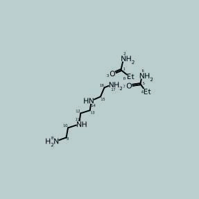 CCC(N)=O.CCC(N)=O.NCCNCCNCCN